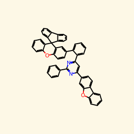 c1ccc(-c2nc(-c3ccc4c(c3)oc3ccccc34)cc(-c3ccccc3-c3ccc4c(c3)C3(c5ccccc5O4)c4ccccc4-c4ccccc43)n2)cc1